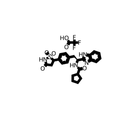 O=C(O)C(F)(F)F.O=C1CC(c2ccc(C[C@H](NC(=O)C3CCCC3)c3nc4ccccc4[nH]3)cc2)S(=O)(=O)N1